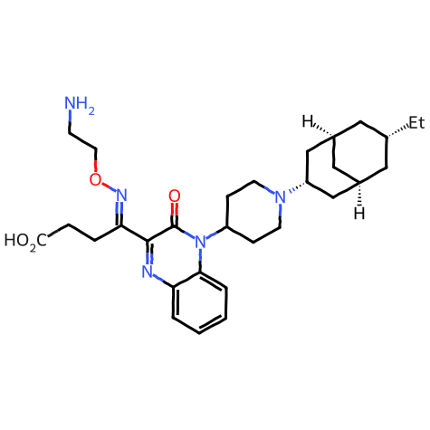 CC[C@@H]1C[C@@H]2C[C@H](C1)C[C@@H](N1CCC(n3c(=O)c(/C(CCC(=O)O)=N/OCCN)nc4ccccc43)CC1)C2